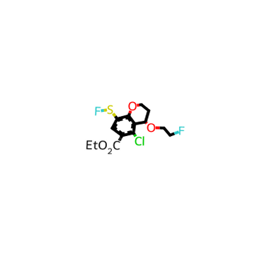 CCOC(=O)c1cc(SF)c2c(c1Cl)C(OCCF)CCO2